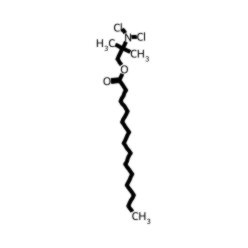 CCCCCCCCCCCCCC(=O)OCC(C)(C)N(Cl)Cl